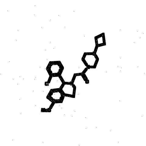 COc1ccc2c(c1)CCN(CC(=O)N1CCN(C3CCC3)CC1)C2c1ccccc1Cl